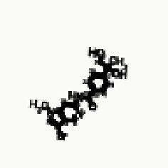 Cn1cc(Br)c2cnc(NC(=O)c3ccc(C(C)(O)CO)cc3)cc21